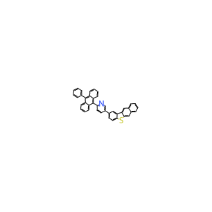 c1ccc(-c2c3ccccc3c(-c3ccc(-c4ccc5sc6cc7ccccc7cc6c5c4)cn3)c3ccccc23)cc1